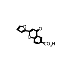 O=C(O)c1ccc2oc(-c3ccco3)cc(=O)c2c1